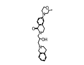 C[C@H]1CN(c2ccc3c(c2)CCN(CC(O)CN2CCc4ccccc4C2)C3=O)CCO1